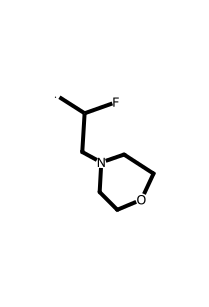 [CH2]C(F)CN1CCOCC1